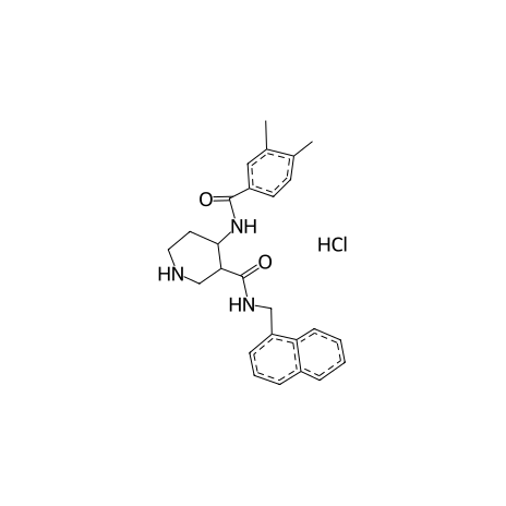 Cc1ccc(C(=O)NC2CCNCC2C(=O)NCc2cccc3ccccc23)cc1C.Cl